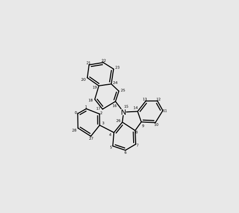 c1ccc(-c2cccc3c4ccccc4n(-c4ccc5ccccc5c4)c23)cc1